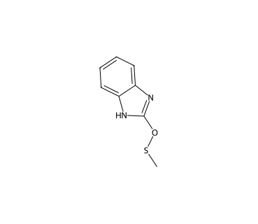 CSOc1nc2ccccc2[nH]1